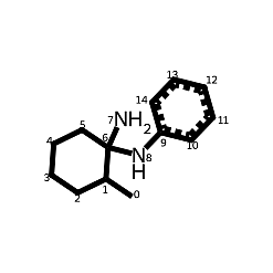 CC1CCCCC1(N)Nc1ccccc1